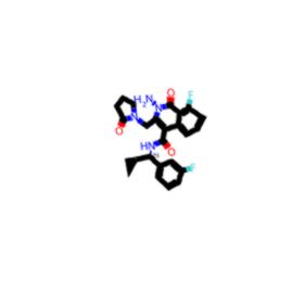 Nn1c(CN2CCCC2=O)c(C(=O)N[C@H](c2cccc(F)c2)C2CC2)c2cccc(F)c2c1=O